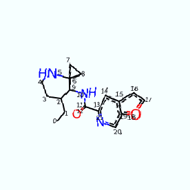 CCC1CCNC2(CC2)C1NC(=O)c1cc2ccoc2cn1